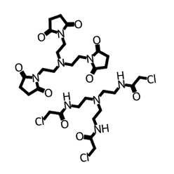 O=C(CCl)NCCN(CCNC(=O)CCl)CCNC(=O)CCl.O=C1CCC(=O)N1CCN(CCN1C(=O)CCC1=O)CCN1C(=O)CCC1=O